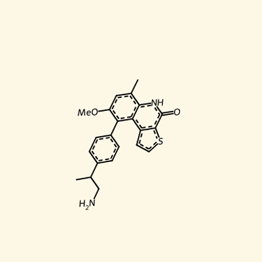 COc1cc(C)c2[nH]c(=O)c3sccc3c2c1-c1ccc(C(C)CN)cc1